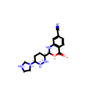 N#Cc1ccc2c(c1)NC(C1CCC(N3CCNC3)NN1)OC2=O